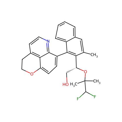 Cc1cc2ccccc2c(-c2ccc3c4c(ccnc24)CCO3)c1[C@@H](CO)OC(C)(C)C(F)F